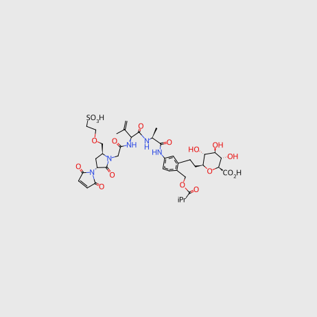 C=C(C)[C@H](NC(=O)CN1C(=O)[C@H](N2C(=O)C=CC2=O)C[C@H]1COCCS(=O)(=O)O)C(=O)N[C@@H](C)C(=O)Nc1ccc(COC(=O)C(C)C)c(CC[C@@H]2O[C@H](C(=O)O)[C@@H](O)[C@H](O)[C@H]2O)c1